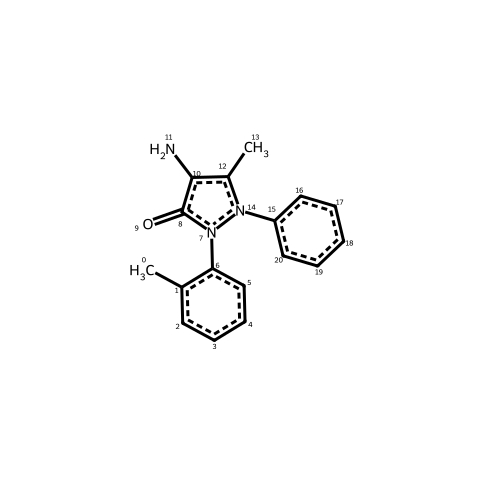 Cc1ccccc1-n1c(=O)c(N)c(C)n1-c1ccccc1